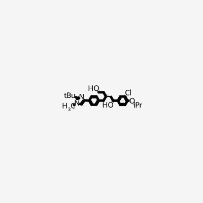 CC(C)Oc1ccc(C(O)C[C@H](CCO)Cc2ccc(-c3cn(C)c(C(C)(C)C)n3)cc2)cc1Cl